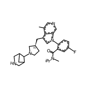 Cc1cncc2c1c(C[C@H]1CCN(C3C4CNCC3C4)C1)cn2-c1ccc(F)cc1C(=O)N(C)C(C)C